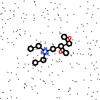 c1ccc(-c2cccc(-c3nc(-c4ccc(-c5ccc(-c6cccc7oc8ccccc8c67)c6c5oc5ccccc56)cc4)nc(-c4cccc(-c5ccccc5)c4)n3)c2)cc1